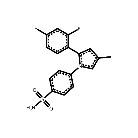 Cc1cc(-c2ccc(F)cc2F)n(-c2ccc(S(N)(=O)=O)cc2)c1